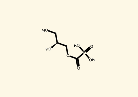 O=C(OC[C@@H](O)CO)P(=O)(O)O